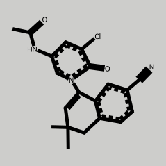 CC(=O)Nc1cc(Cl)c(=O)n(C2=CC(C)(C)Cc3ccc(C#N)cc32)c1